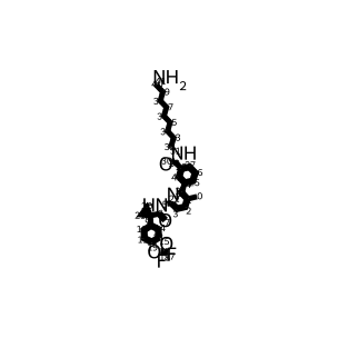 Cc1ccc(NC(=O)C2(c3ccc4c(c3)OC(F)(F)O4)CC2)nc1-c1cccc(C(=O)NCCCCCCCCCN)c1